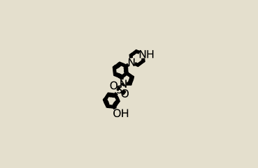 O=S(=O)(c1cccc(O)c1)n1ccc2c(N3CCNCC3)cccc21